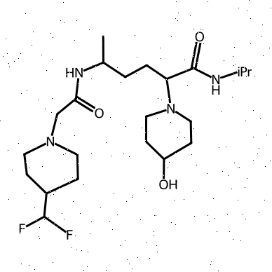 CC(C)NC(=O)C(CCC(C)NC(=O)CN1CCC(C(F)F)CC1)N1CCC(O)CC1